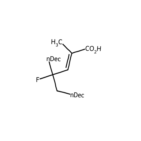 CCCCCCCCCCCC(F)(C=C(C)C(=O)O)CCCCCCCCCC